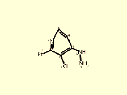 CCc1nccc(NN)c1Cl